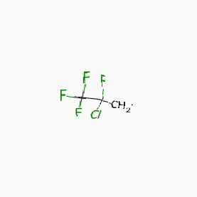 [CH2]C(F)(Cl)C(F)(F)F